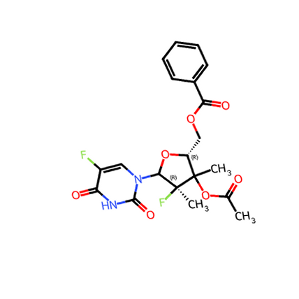 CC(=O)OC1(C)[C@@H](COC(=O)c2ccccc2)OC(n2cc(F)c(=O)[nH]c2=O)[C@]1(C)F